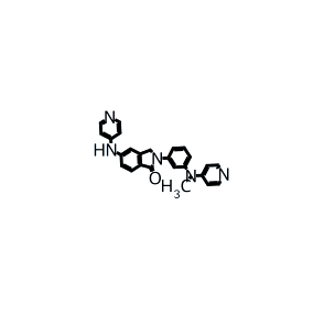 CN(c1ccncc1)c1cccc(N2Cc3cc(Nc4ccncc4)ccc3C2=O)c1